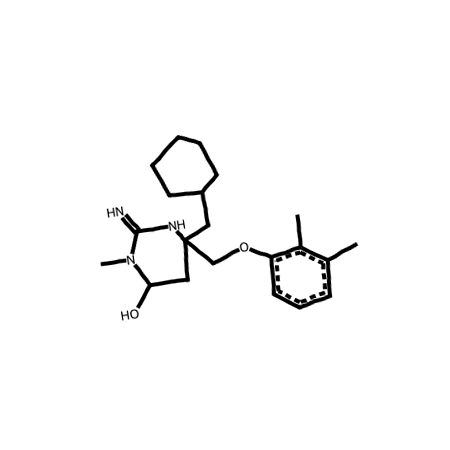 Cc1cccc(OCC2(CC3CCCCC3)CC(O)N(C)C(=N)N2)c1C